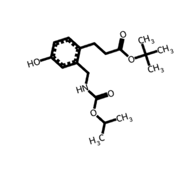 CC(C)OC(=O)NCc1cc(O)ccc1CCC(=O)OC(C)(C)C